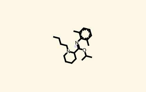 CCCCN1CCCCC1/C(=N/c1c(C)cccc1C)OC(C)C